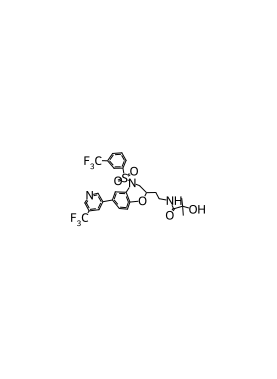 CC(C)(O)C(=O)NCCC1CN(S(=O)(=O)c2cccc(C(F)(F)F)c2)c2cc(-c3cncc(C(F)(F)F)c3)ccc2O1